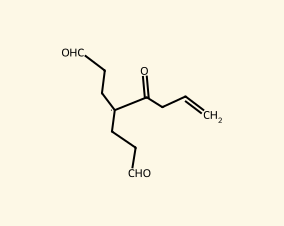 C=CCC(=O)[C](CCC=O)CCC=O